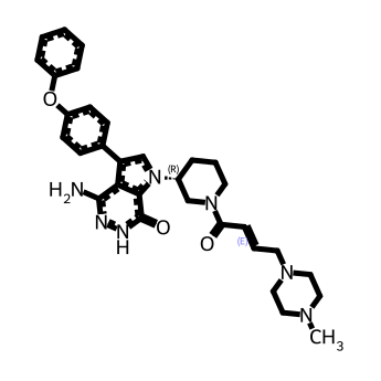 CN1CCN(C/C=C/C(=O)N2CCC[C@@H](n3cc(-c4ccc(Oc5ccccc5)cc4)c4c(N)n[nH]c(=O)c43)C2)CC1